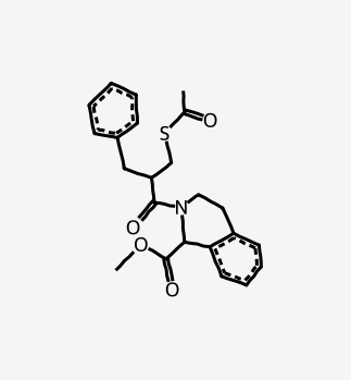 COC(=O)C1c2ccccc2CCN1C(=O)C(CSC(C)=O)Cc1ccccc1